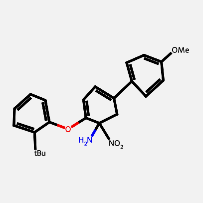 COc1ccc(C2=CC=C(Oc3ccccc3C(C)(C)C)C(N)([N+](=O)[O-])C2)cc1